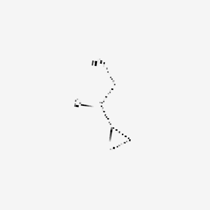 [CH2]CCCC(=O)C1CC1